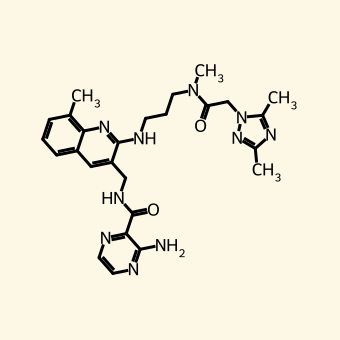 Cc1nc(C)n(CC(=O)N(C)CCCNc2nc3c(C)cccc3cc2CNC(=O)c2nccnc2N)n1